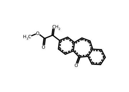 C=C(C(=O)OC)c1ccc2c(=O)c3ccccc3ccc2c1